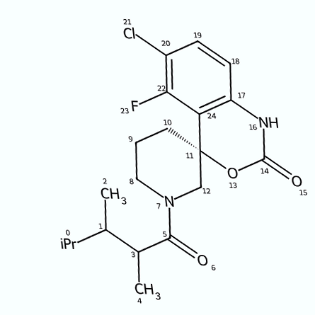 CC(C)C(C)C(C)C(=O)N1CCC[C@@]2(C1)OC(=O)Nc1ccc(Cl)c(F)c12